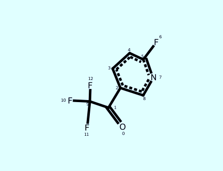 O=C(c1ccc(F)nc1)C(F)(F)F